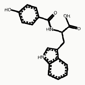 O=C(NC(Cc1c[nH]c2ccccc12)C(=O)O)c1ccc(O)cc1